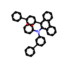 c1ccc(-c2ccc(-c3c(N(c4ccccc4)c4cccc(-c5ccccc5)c4)c4ccccc4c4ccccc34)cc2)cc1